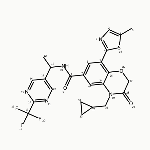 Cc1cnc(-c2cc(C(=O)NC(C)c3cnc(C(F)(F)F)nc3)cc3c2OCC(=O)N3CC2CC2)s1